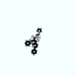 O=C(NCCN1CCCC1)c1c(=O)c2ccc(-c3ccccc3)nc2n2c1sc1ccccc12